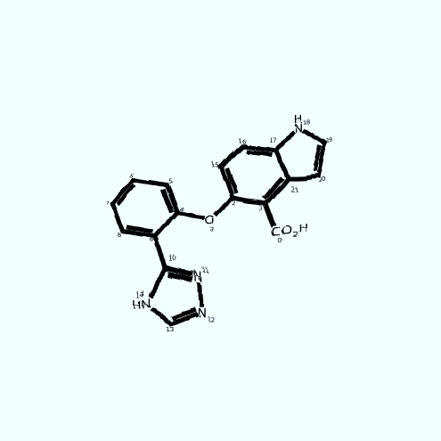 O=C(O)c1c(Oc2ccccc2-c2nnc[nH]2)ccc2[nH]ccc12